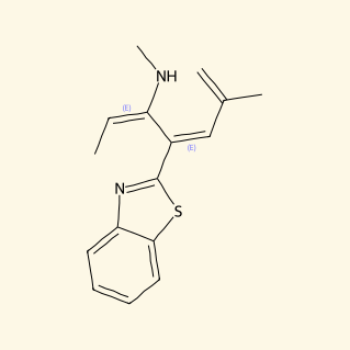 C=C(C)/C=C(\C(=C/C)NC)c1nc2ccccc2s1